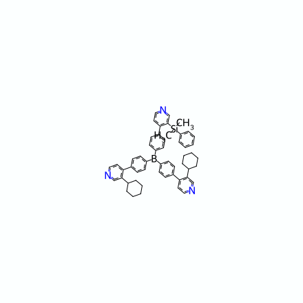 C[Si](C)(c1ccccc1)c1cnccc1-c1ccc(B(c2ccc(-c3ccncc3C3CCCCC3)cc2)c2ccc(-c3ccncc3C3CCCCC3)cc2)cc1